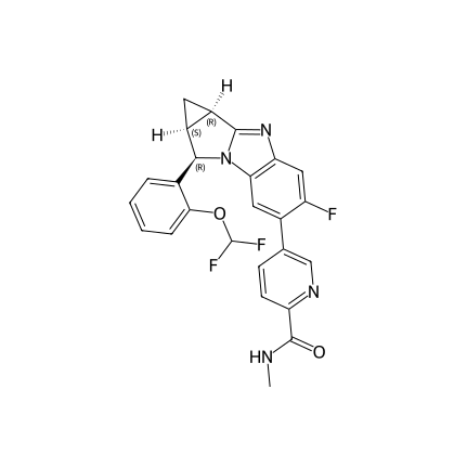 CNC(=O)c1ccc(-c2cc3c(cc2F)nc2n3[C@@H](c3ccccc3OC(F)F)[C@H]3C[C@@H]23)cn1